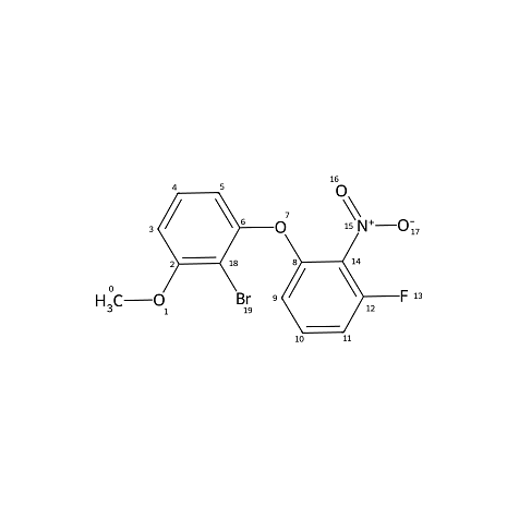 COc1cccc(Oc2cccc(F)c2[N+](=O)[O-])c1Br